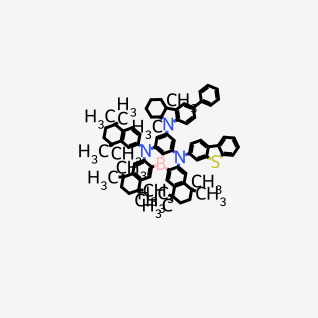 CC1(C)CCC(C)(C)c2cc(N3c4cc5c(cc4B4c6cc7c(cc6N(c6ccc8c(c6)sc6ccccc68)c6cc(N8c9ccc(-c%10ccccc%10)cc9C9(C)CCCCC89C)cc3c64)C(C)(C)CCC7(C)C)C(C)(C)CCC5(C)C)ccc21